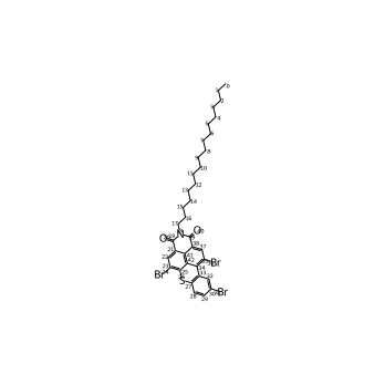 CCCCCCCCCCCCCCCCCCn1c(=O)c2cc(Br)c3sc4ccc(Br)cc4c4c(Br)cc(c1=O)c2c34